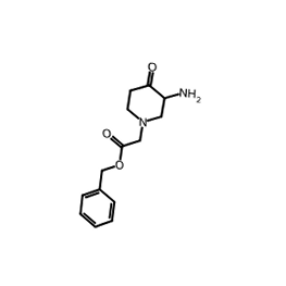 NC1CN(CC(=O)OCc2ccccc2)CCC1=O